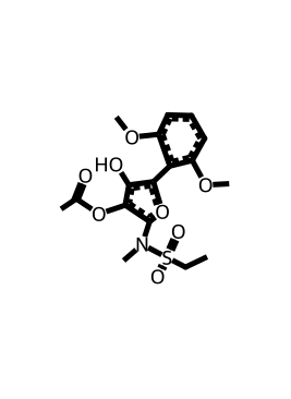 CCS(=O)(=O)N(C)c1oc(-c2c(OC)cccc2OC)c(O)c1OC(C)=O